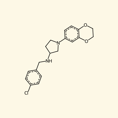 Clc1ccc(CNC2CCN(c3ccc4c(c3)OCCO4)C2)cc1